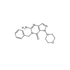 Nc1nc2cnn(N3CCOCC3)c2c(=O)n1Cc1ccccc1